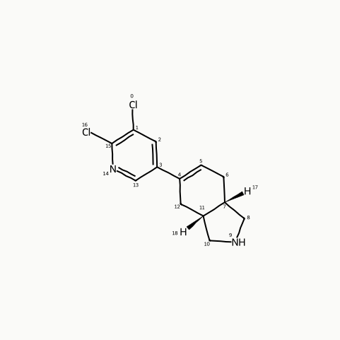 Clc1cc(C2=CC[C@@H]3CNC[C@@H]3C2)cnc1Cl